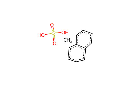 C.O=S(=O)(O)O.c1ccc2ccccc2c1